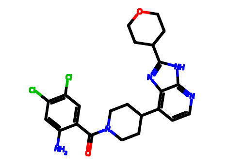 Nc1cc(Cl)c(Cl)cc1C(=O)N1CCC(c2ccnc3[nH]c(C4CCOCC4)nc23)CC1